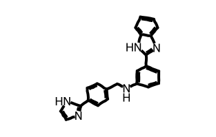 c1cc(NCc2ccc(-c3ncc[nH]3)cc2)cc(-c2nc3ccccc3[nH]2)c1